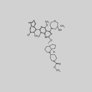 COC(=O)N1CCC(N2CCC[C@@]3(COc4nc(N5CCOC[C@@](C)(O)C5)c5c(OC)nc(-c6c(C)c(Cl)cc7[nH]ncc67)c(F)c5n4)CCC[C@@H]23)CC1